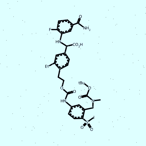 CCc1cc(C(Nc2cc(C(N)=O)ccc2F)C(=O)O)ccc1CCOC(=O)Nc1ccc(S(=O)(=O)I)c(CN(C)C(=O)OC(C)(C)C)c1